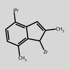 CC1=Cc2c(C(C)C)ccc(C)c2[CH]1[Zr]